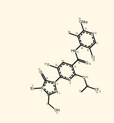 CCn1c(CO)nn(-c2nc(OC(C)C(F)(F)F)c(C(=O)Nc3c(Cl)cnc(OC)c3C)cc2F)c1=O